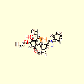 CCCC(Pc1ccccc1CNc1ccccc1)c1cc(OC)cc(OC)c1O